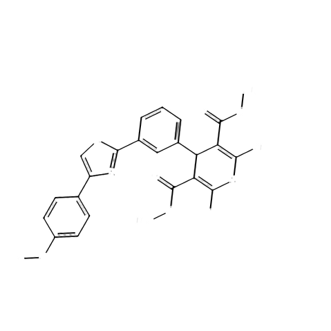 COC(=O)C1=C(C)NC(C)=C(C(=O)OC)C1c1cccc(-c2nc(-c3ccc(OC)cc3)cs2)c1